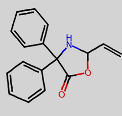 C=CC1NC(c2ccccc2)(c2ccccc2)C(=O)O1